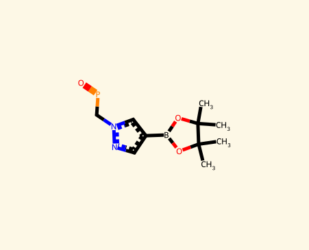 CC1(C)OB(c2cnn(CP=O)c2)OC1(C)C